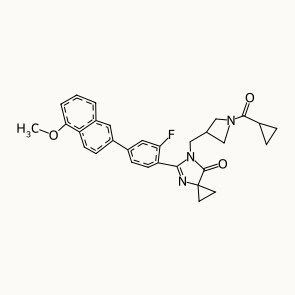 COc1cccc2cc(-c3ccc(C4=NC5(CC5)C(=O)N4CC4CN(C(=O)C5CC5)C4)c(F)c3)ccc12